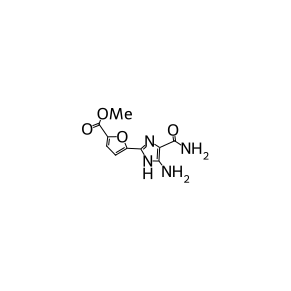 COC(=O)c1ccc(-c2nc(C(N)=O)c(N)[nH]2)o1